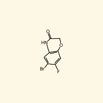 O=C1COc2cc(F)c(Br)cc2N1